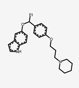 [CH2]CC(Oc1ccc2[nH]ccc2c1)c1ccc(OCCCN2CCCCC2)cc1